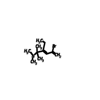 C=C(Br)/C=C(\CC)C(C)(C)N(C)C